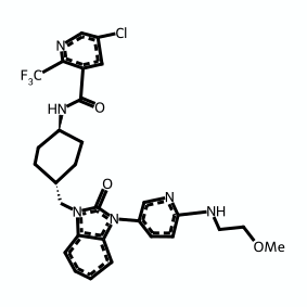 COCCNc1ccc(-n2c(=O)n(C[C@H]3CC[C@H](NC(=O)c4cc(Cl)cnc4C(F)(F)F)CC3)c3ccccc32)cn1